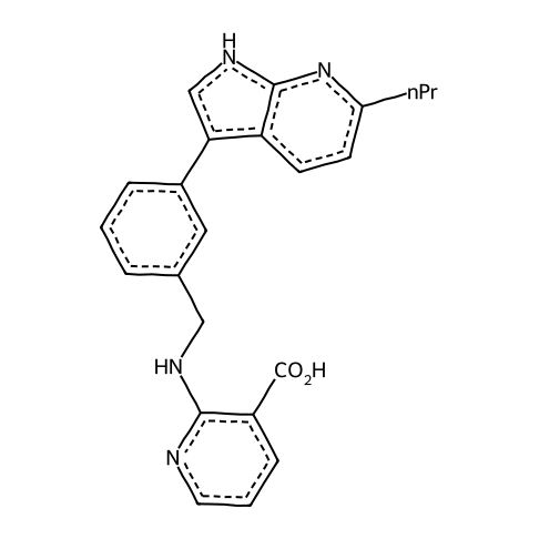 CCCc1ccc2c(-c3cccc(CNc4ncccc4C(=O)O)c3)c[nH]c2n1